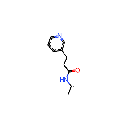 C[CH]NC(=O)CCc1cccnc1